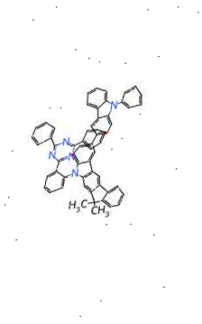 CC1(C)c2ccccc2-c2cc3c4cc(-c5ccc6c(c5)c5ccccc5n6-c5ccccc5)ccc4n(-c4ccccc4-c4nc(-c5ccccc5)nc(-c5ccccc5)n4)c3cc21